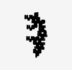 COc1cc(N)c(Cl)cc1C(=O)NCC1CCN(CC(OC(N)=O)c2ccc(OC(F)F)cc2)CC1